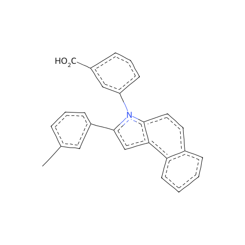 Cc1cccc(-c2cc3c4ccccc4ccc3n2-c2cccc(C(=O)O)c2)c1